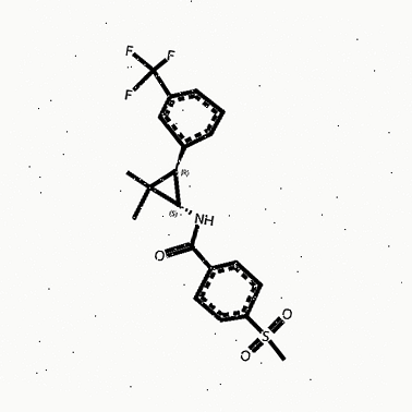 CC1(C)[C@@H](NC(=O)c2ccc(S(C)(=O)=O)cc2)[C@@H]1c1cccc(C(F)(F)F)c1